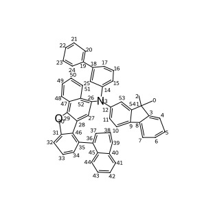 CC1(C)c2ccccc2-c2ccc(N(c3cccc(-c4ccccc4)c3)c3cc4c(oc5cccc(-c6cccc7ccccc67)c54)c4ccccc34)cc21